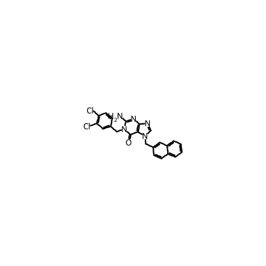 Nc1nc2ncn(Cc3ccc4ccccc4c3)c2c(=O)n1Cc1ccc(Cl)c(Cl)c1